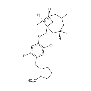 CC1C[C@H](C)CC2(COc3cc(F)c(SC4CCCC4C(=O)O)cc3Cl)C[C@@H](C1)[C@@H]2C